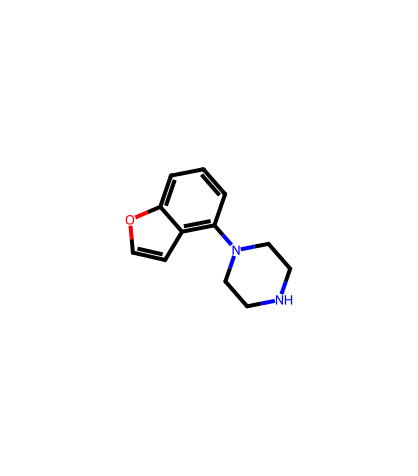 c1cc(N2CCNCC2)c2ccoc2c1